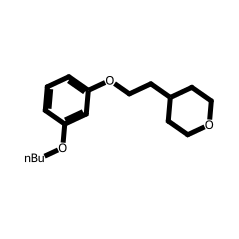 CCCCOc1cccc(OCCC2CCOCC2)c1